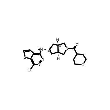 O=C(C1CCOCC1)N1C[C@H]2C[C@H](Nc3nnc(Cl)c4sccc34)C[C@H]2C1